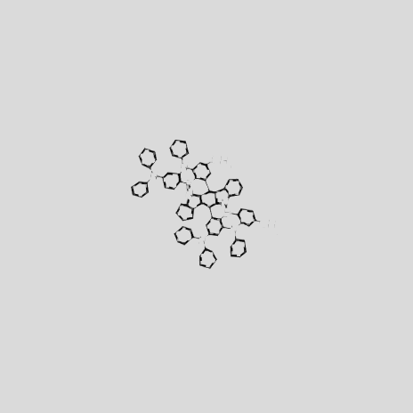 Cc1ccc2c(c1)N(c1ccccc1)c1cc(N(c3ccccc3)c3ccccc3)cc3c1B2n1c2ccccc2c2c4c5c(c-3c21)c1ccccc1n5B1c2ccc(N(c3ccccc3)c3ccccc3)cc2N(c2ccccc2)c2cc(C)cc-4c21